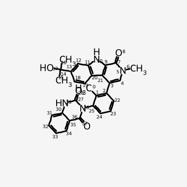 Cc1c(-c2cn(C)c(=O)c3[nH]c4cc(C(C)(C)O)ccc4c23)cccc1-n1c(=O)[nH]c2ccccc2c1=O